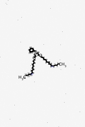 CCCC/C=C\CCCCCCCCOCCN(CCOCCCCCCCC/C=C\CCCC)Cc1ccccc1